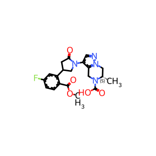 COC(=O)c1ccc(F)cc1C1CC(=O)N(c2cnn3c2CN(C(=O)O)[C@@H](C)C3)C1